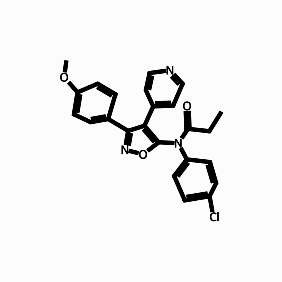 CCC(=O)N(c1ccc(Cl)cc1)c1onc(-c2ccc(OC)cc2)c1-c1ccncc1